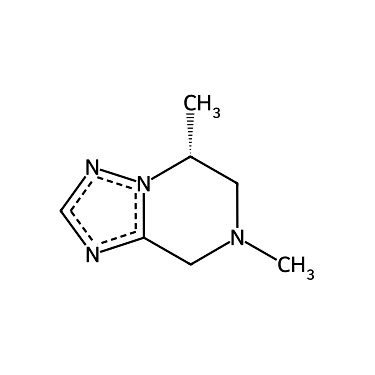 C[C@@H]1CN(C)Cc2ncnn21